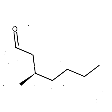 CCCC[C@@H](C)CC=O